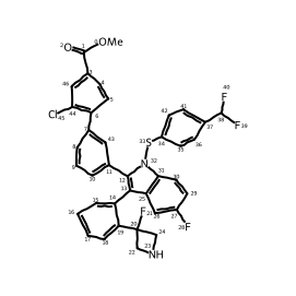 COC(=O)c1ccc(-c2cccc(-c3c(-c4ccccc4C4(F)CNC4)c4cc(F)ccc4n3Sc3ccc(C(F)F)cc3)c2)c(Cl)c1